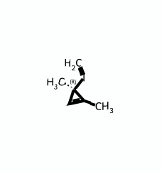 C=I[C@]1(C)C=C1C